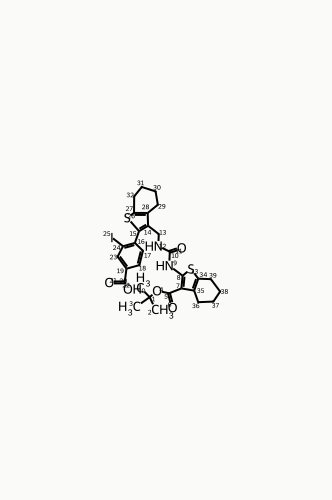 CC(C)(C)OC(=O)c1c(NC(=O)NCc2c(-c3ccc(C(=O)O)cc3I)sc3c2CCCC3)sc2c1CCCC2